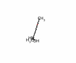 CCCCCC=CCC=CCC=CCC=CCCCCN[C@H](C)CO